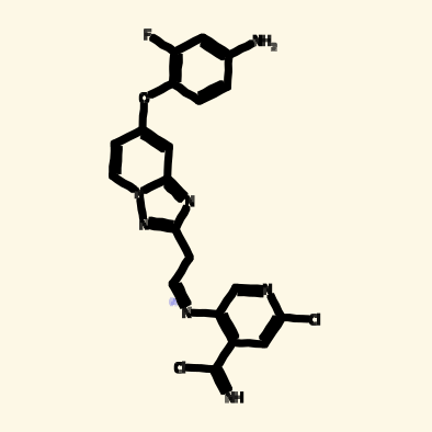 N=C(Cl)c1cc(Cl)ncc1/N=C\Cc1nc2cc(Oc3ccc(N)cc3F)ccn2n1